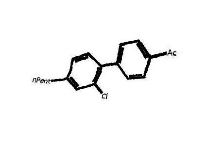 CCCCCc1ccc(-c2ccc(C(C)=O)cc2)c(Cl)c1